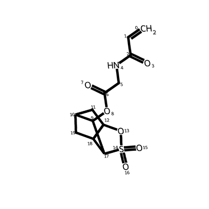 C=CC(=O)NCC(=O)OC1C2CC3OS(=O)(=O)C1C3C2